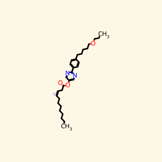 CCCCCCCC/C=C\CC(=O)Oc1cnc(-c2ccc(CCCCCOCCC)cc2)nc1